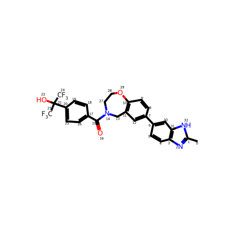 Cc1nc2ccc(-c3ccc4c(c3)CN(C(=O)c3ccc(C(O)(C(F)(F)F)C(F)(F)F)cc3)CCO4)cc2[nH]1